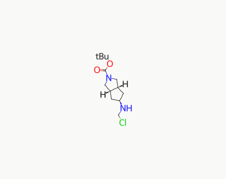 CC(C)(C)OC(=O)N1C[C@H]2C[C@H](NCCl)C[C@H]2C1